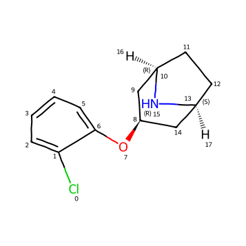 Clc1ccccc1O[C@H]1C[C@H]2CC[C@@H](C1)N2